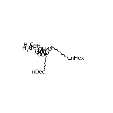 CCCCCC/C=C\CCCCCCCC/C=C\OC[C@H](COP(=O)(O)OCC[N+](C)(C)C)OC(=O)CCCCCCCCCCCCCCCCC